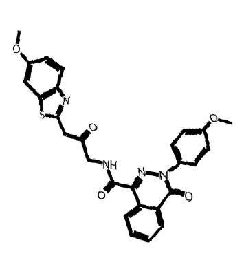 COc1ccc(-n2nc(C(=O)NCC(=O)Cc3nc4ccc(OC)cc4s3)c3ccccc3c2=O)cc1